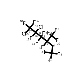 FC(F)(I)CC(F)(C(F)(F)F)C(F)(F)C(F)(Cl)C(F)(F)Cl